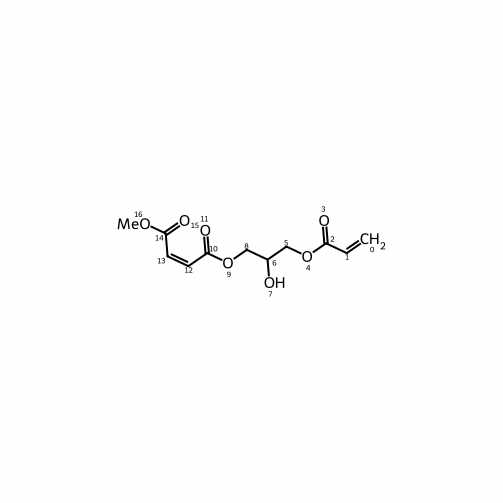 C=CC(=O)OCC(O)COC(=O)/C=C\C(=O)OC